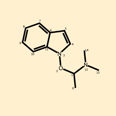 CC(On1ccc2ccccc21)N(C)C